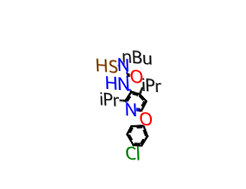 CCCCN(S)C(=O)Nc1c(C(C)C)cc(Oc2ccc(Cl)cc2)nc1C(C)C